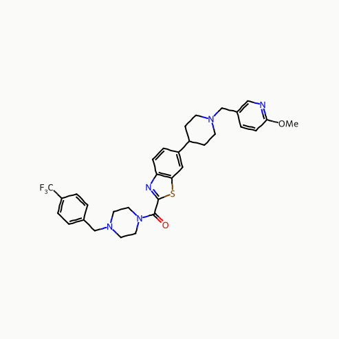 COc1ccc(CN2CCC(c3ccc4nc(C(=O)N5CCN(Cc6ccc(C(F)(F)F)cc6)CC5)sc4c3)CC2)cn1